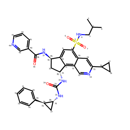 CC(C)CNS(=O)(=O)c1cc2c(c3cnc(C4CC4)cc13)[C@H](NC(=O)N[C@@H]1C[C@H]1c1ccccc1)C[C@H]2NC(=O)c1cccnc1